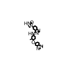 Cc1cc(Nc2ncnc3ccc(N4CCNC4=O)cc23)ccc1Oc1ccc2c(c1)ncn2C